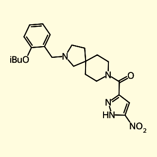 CC(C)COc1ccccc1CN1CCC2(CCN(C(=O)c3cc([N+](=O)[O-])[nH]n3)CC2)C1